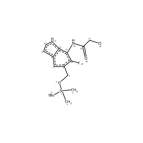 CC(C)(C)[Si](C)(C)OCc1cc2cc[nH]c2c(NC(=O)CCl)c1F